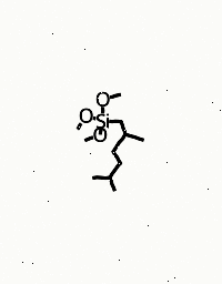 CO[Si](CC(C)CCC(C)C)(OC)OC